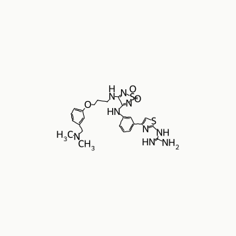 CN(C)Cc1cccc(OCCCNC2=NS(=O)(=O)N=C2Nc2cccc(-c3csc(NC(=N)N)n3)c2)c1